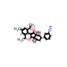 [C-]#[N+]c1cccc([C@@H]2C[C@@H]3O[C@H]2[C@H]2C(O)=C(c4c(CC)cc(C)cc4CC)C(=O)[C@H]23)c1